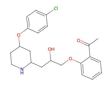 CC(=O)c1ccccc1OCC(O)CC1CC(Oc2ccc(Cl)cc2)CCN1